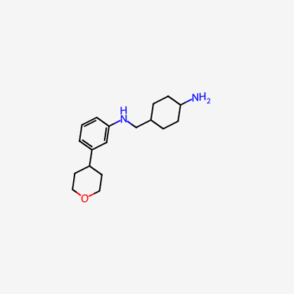 NC1CCC(CNc2cccc(C3CCOCC3)c2)CC1